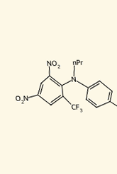 CCCN(c1ccc(F)cc1)c1c([N+](=O)[O-])cc([N+](=O)[O-])cc1C(F)(F)F